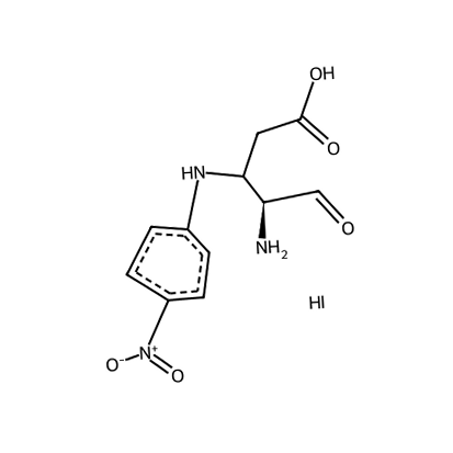 I.N[C@H](C=O)C(CC(=O)O)Nc1ccc([N+](=O)[O-])cc1